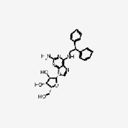 Nc1nc(NCC(c2ccccc2)c2ccccc2)c2ncn([C@@H]3O[C@H](CO)[C@@H](O)[C@H]3O)c2n1